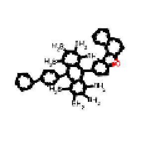 Bc1c(B)c(B)c2c(-c3ccc4oc5ccc6ccccc6c5c4c3)c3c(B)c(B)c(B)c(B)c3c(-c3ccc(-c4ccccc4)cc3)c2c1B